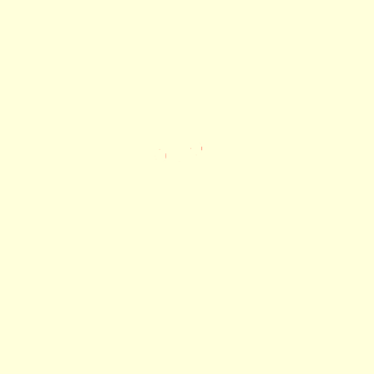 C=COC(=O)CCCCF